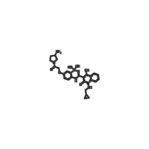 NC1CCN(C(=O)COc2ccc3c(c2)S(O)(O)N=C(c2c(O)c4ccccc4n(NCC4CC4)c2=O)N3)C1